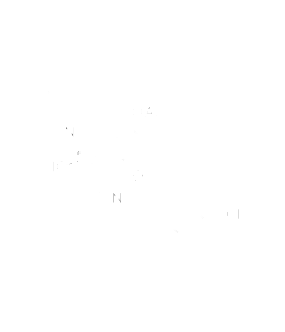 C=CCN1CC[C@@]2(c3cccc(OC(C)=O)c3)C[C@H](N(C)C(=O)C=Cc3cccc(O)c3)CC[C@]2(O)C1